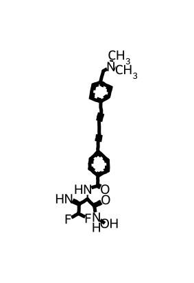 CN(C)Cc1ccc(C#CC#Cc2ccc(C(=O)N[C@@H](C(=N)C(F)F)C(=O)NO)cc2)cc1